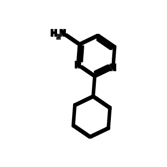 Nc1ccnc(C2CCCCC2)n1